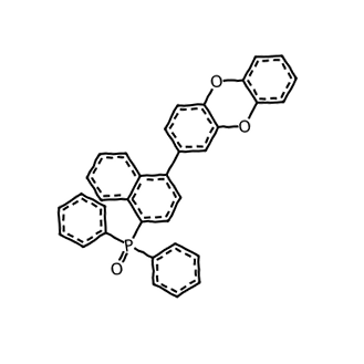 O=P(c1ccccc1)(c1ccccc1)c1ccc(-c2ccc3c(c2)Oc2ccccc2O3)c2ccccc12